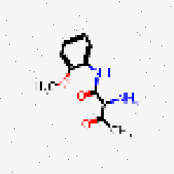 COc1ccccc1NC(=O)C(N)C(C)=O